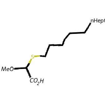 CCCCCCCCCCCCSC(OC)C(=O)O